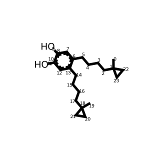 CC1(CCCCc2cc(O)c(O)cc2CCCCC2(C)CC2)CC1